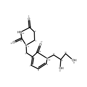 O=C1CCN(Cc2cccn(CC(O)CO)c2=O)C(=O)N1